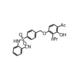 CCCc1c(OCc2ccc(S(=O)(=O)Nc3ccccc3C#N)cc2)ccc(C(C)=O)c1O